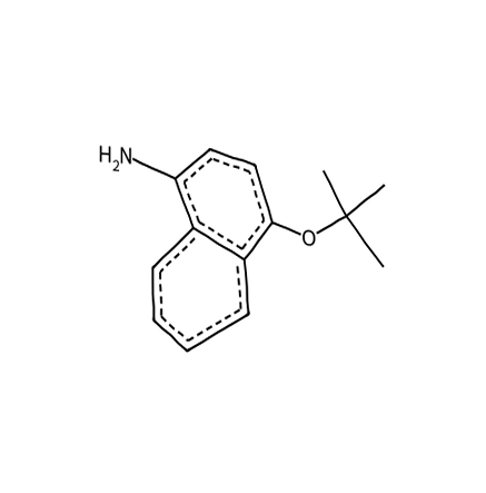 CC(C)(C)Oc1ccc(N)c2ccccc12